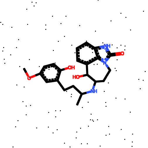 COc1ccc(O)c(CCC(C)NC2CCn3c(=O)[nH]c4cccc(c43)C2O)c1